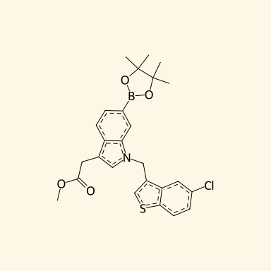 COC(=O)Cc1cn(Cc2csc3ccc(Cl)cc23)c2cc(B3OC(C)(C)C(C)(C)O3)ccc12